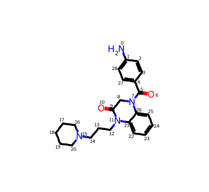 Nc1ccc(C(=O)N2CC(=O)N(CCCN3CCCCC3)c3ccccc32)cc1